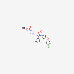 CC(C)(C)OC(=O)N1CCN(C[C@@H]2OC(=O)N(c3ccc(Oc4ccc(Cl)cc4)cc3)[C@H]2c2cc(F)cc(F)c2)CC1